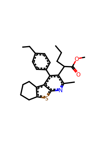 CCCC(C(=O)OC)c1c(C)nc2sc3c(c2c1-c1ccc(CC)cc1)CCCC3